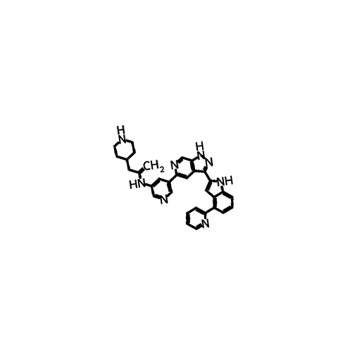 C=C(CC1CCNCC1)Nc1cncc(-c2cc3c(-c4cc5c(-c6ccccn6)cccc5[nH]4)n[nH]c3cn2)c1